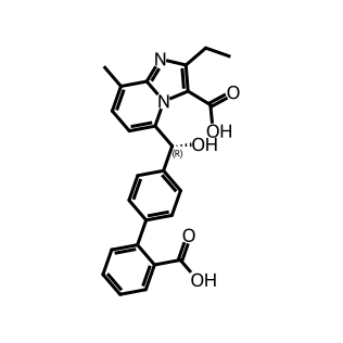 CCc1nc2c(C)ccc([C@H](O)c3ccc(-c4ccccc4C(=O)O)cc3)n2c1C(=O)O